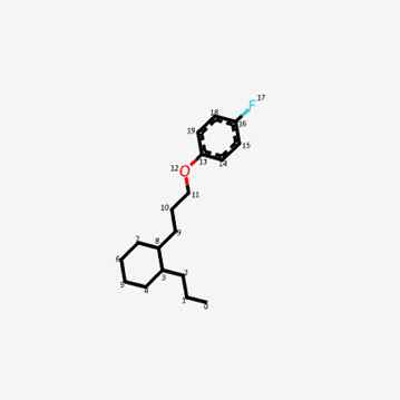 CCCC1CCCCC1CCCOc1ccc(F)cc1